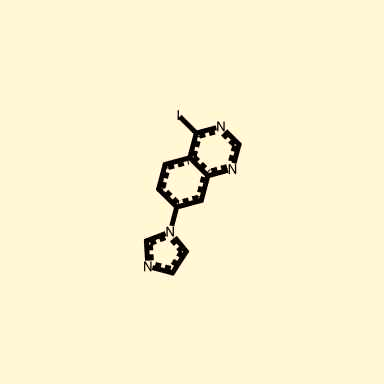 Ic1ncnc2cc(-n3ccnc3)ccc12